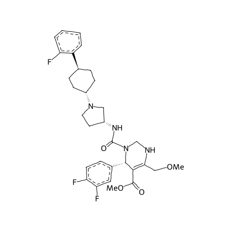 COCC1=C(C(=O)OC)[C@H](c2ccc(F)c(F)c2)N(C(=O)N[C@@H]2CCN([C@H]3CC[C@H](c4ccccc4F)CC3)C2)CN1